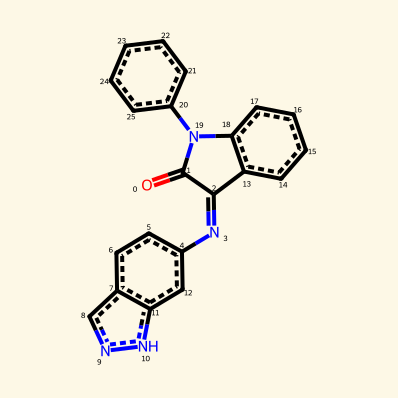 O=C1/C(=N\c2ccc3cn[nH]c3c2)c2ccccc2N1c1ccccc1